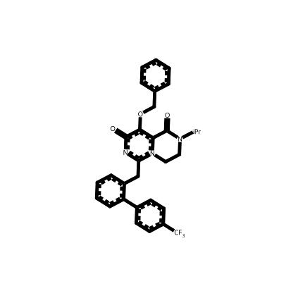 CC(C)N1CCn2c(Cc3ccccc3-c3ccc(C(F)(F)F)cc3)nc(=O)c(OCc3ccccc3)c2C1=O